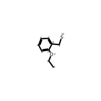 CCOc1ccccc1C[S]